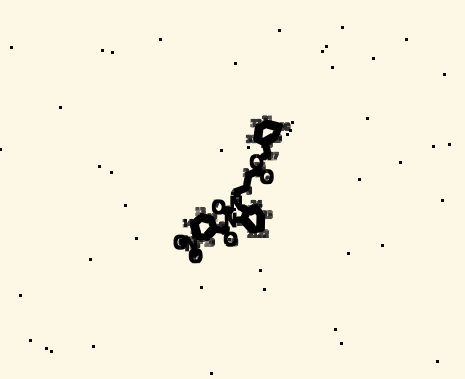 O=C(CCCn1c(=O)n(C(=O)c2cccc([N+](=O)[O-])c2)c2ccccc21)OCc1ccccc1